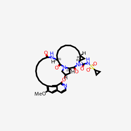 COc1cc2ccnc3c2cc1CCCCCCCC(=O)N[C@H]1CCCCCCC[C@@H]2C[C@@]2(C(=O)NS(=O)(=O)C2CC2)NC(=O)[C@@H]2C[C@H](CN2C1=O)O3